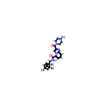 CC(=O)N1CCN(C(=O)c2cn3c(C(=O)NC[C@@H]4CC[C@H]5C[C@H]4C5(C)C)cccc3n2)CC1